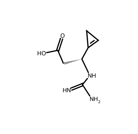 N=C(N)N[C@H](CC(=O)O)C1=CC1